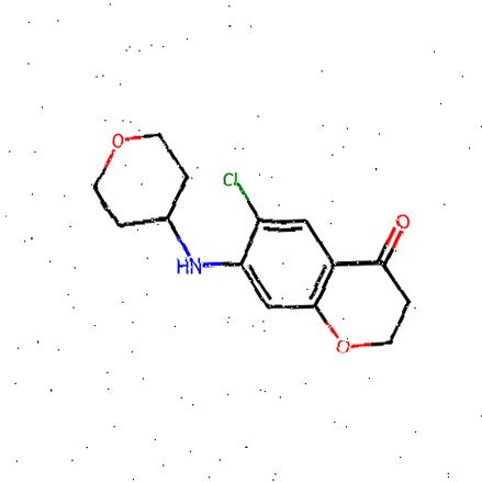 O=C1CCOc2cc(NC3CCOCC3)c(Cl)cc21